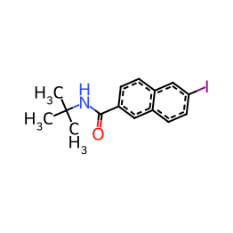 CC(C)(C)NC(=O)c1ccc2cc(I)ccc2c1